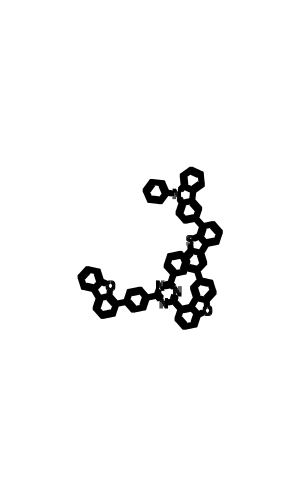 c1ccc(-c2nc(-c3ccc(-c4cccc5c4oc4ccccc45)cc3)nc(-c3cccc4oc5ccc(-c6ccc7sc8c(-c9ccc%10c(c9)c9ccccc9n%10-c9ccccc9)cccc8c7c6)cc5c34)n2)cc1